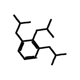 CC(C)Cc1[c]ccc(CC(C)C)c1CC(C)C